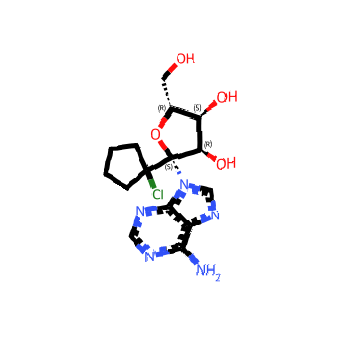 Nc1ncnc2c1ncn2[C@]1(C2(Cl)CCCC2)O[C@H](CO)[C@@H](O)[C@H]1O